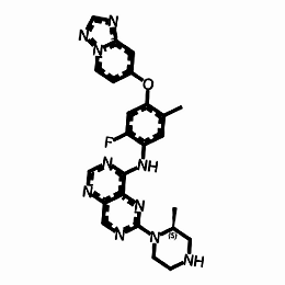 Cc1cc(Nc2ncnc3cnc(N4CCNC[C@@H]4C)nc23)c(F)cc1Oc1ccn2ncnc2c1